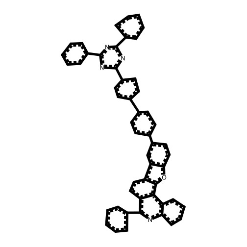 c1ccc(-c2nc(-c3ccccc3)nc(-c3ccc(-c4ccc(-c5ccc6oc7c(ccc8c(-c9ccccc9)nc9ccccc9c87)c6c5)cc4)cc3)n2)cc1